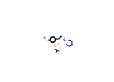 CC(C)(C)NS(=O)(=O)c1cc(NC(=O)O)ccc1-c1cnc(N2CCC(N)CC2)s1